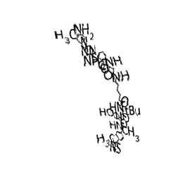 Cc1ncsc1-c1ccc([C@@H](C)NC(=O)[C@H]2C[C@H](O)CN2C(=O)[C@H](NC(=O)CCCCCNC(=O)CC(=O)Nc2cccc(Sc3ncc(N4CCC(C)(N)CC4)nc3N)c2Cl)C(C)(C)C)cc1